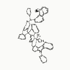 CC1(C)c2c(ccc3c2-c2ccccc2C32c3ccccc3-c3ccc(N(c4ccccc4)c4cccc5c4oc4ccccc45)cc32)-c2ccc3c(c21)c1ccccc1n3-c1ccccc1